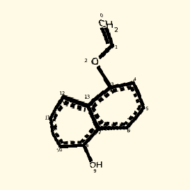 C=COc1cccc2c(O)cccc12